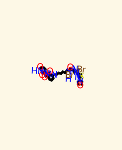 O=C1CCC(N2C(=O)c3cccc(NCCCCCCNC(=O)c4nc(Br)n(-c5csc(N6CCOCC6)n5)c4Br)c3C2=O)C(=O)N1